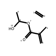 C=C.C=C(C)C(=O)OC(C)O